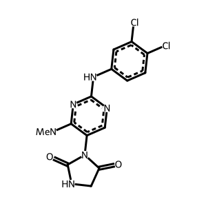 CNc1nc(Nc2ccc(Cl)c(Cl)c2)ncc1N1C(=O)CNC1=O